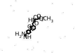 CCOC(=O)CC(C)NC(=O)CC1CCCN(c2ccc(C(=N)N)cc2)C1=O